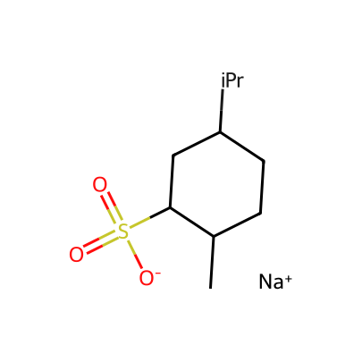 CC(C)C1CCC(C)C(S(=O)(=O)[O-])C1.[Na+]